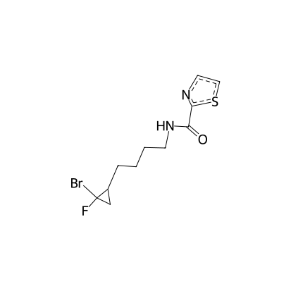 O=C(NCCCCC1CC1(F)Br)c1nccs1